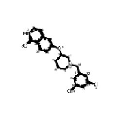 O=c1[nH]ccc2cc(OC3CCCN(Cc4cc(Cl)cc(Cl)c4)C3)ccc12